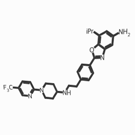 CC(C)c1cc(N)cc2nc(-c3ccc(CCNC4CCN(c5ccc(C(F)(F)F)cn5)CC4)cc3)oc12